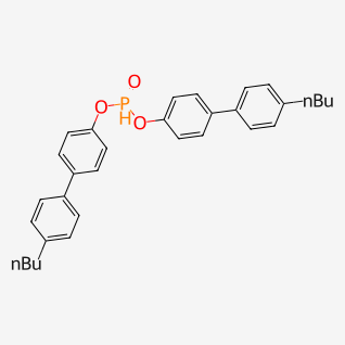 CCCCc1ccc(-c2ccc(O[PH](=O)Oc3ccc(-c4ccc(CCCC)cc4)cc3)cc2)cc1